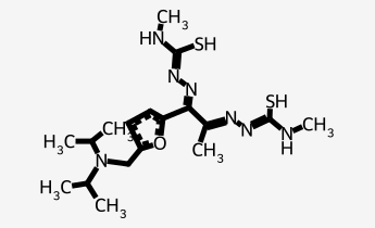 CN/C(S)=N/N=C(/C(C)=N/N=C(\S)NC)c1ccc(CN(C(C)C)C(C)C)o1